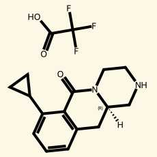 O=C(O)C(F)(F)F.O=C1c2c(cccc2C2CC2)C[C@@H]2CNCCN12